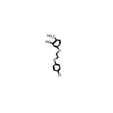 O=C(O)c1ccc(OCCOc2ccc(Cl)cc2)cc1O